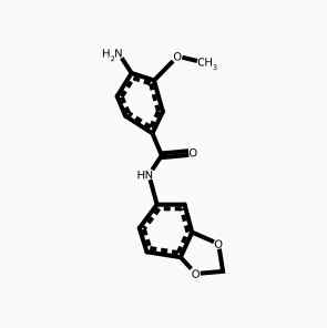 COc1cc(C(=O)Nc2ccc3c(c2)OCO3)ccc1N